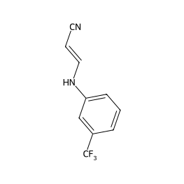 N#CC=CNc1cccc(C(F)(F)F)c1